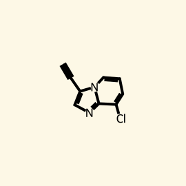 C#Cc1cnc2c(Cl)cccn12